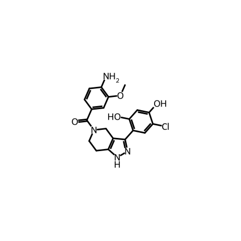 COc1cc(C(=O)N2CCc3[nH]nc(-c4cc(Cl)c(O)cc4O)c3C2)ccc1N